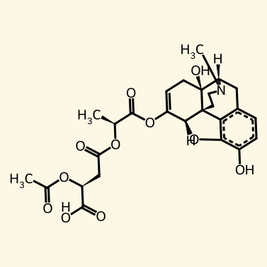 CC(=O)O[C@@H](CC(=O)O[C@@H](C)C(=O)OC1=CC[C@]2(O)[C@@H]3Cc4ccc(O)c5c4[C@]2(CCN3C)[C@@H]1O5)C(=O)O